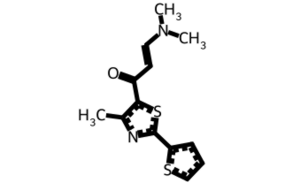 Cc1nc(-c2cccs2)sc1C(=O)C=CN(C)C